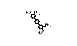 Cc1cc(-c2ccc(-c3ccc(CP)c(CP)c3)cc2)ccc1P